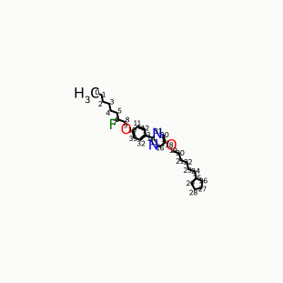 CCCCCCC(F)COc1ccc(-c2ncc(OCCCCCCC3CCCC3)cn2)cc1